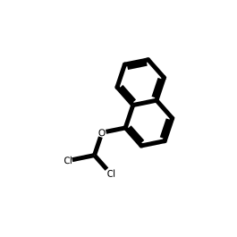 ClC(Cl)Oc1cccc2ccccc12